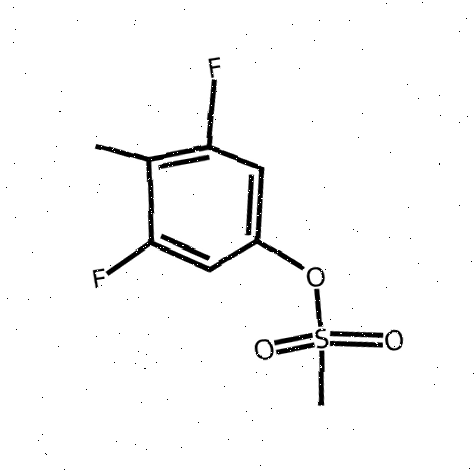 Cc1c(F)cc(OS(C)(=O)=O)cc1F